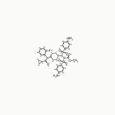 COC(=O)C(C(C1CCN(C(C(=O)C2CC2)c2ccccc2F)CC1)S(=O)(=O)c1ccc(N)cc1)S(=O)(=O)c1ccc(N)cc1